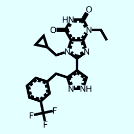 CCn1c(=O)[nH]c(=O)c2c1nc(-c1c[nH]nc1Cc1cccc(C(F)(F)F)c1)n2CC1CC1